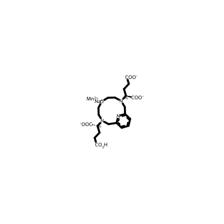 O=C([O-])CC[C@@H](C(=O)[O-])N1CCOCCN([C@H](CCC(=O)O)C(=O)[O-])Cc2cccc(n2)C1.[Mn+2].[Na+]